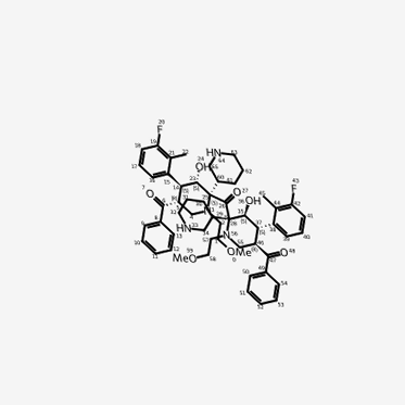 COCCN1C[C@H](C(=O)c2ccccc2)[C@@H](c2cccc(F)c2C)[C@H](O)[C@]1(C(=O)[C@]1(C2CCCNC2)[C@@H](O)[C@H](c2cccc(F)c2C)[C@@H](C(=O)c2ccccc2)CN1CCOC)C1CCCNC1